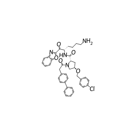 NCCCC[C@H](NC(=O)[C@@H]1C[C@@H](OCc2ccc(Cl)cc2)CN1C(=O)Cc1ccc(-c2ccccc2)cc1)C(=O)c1nc2ccccc2o1